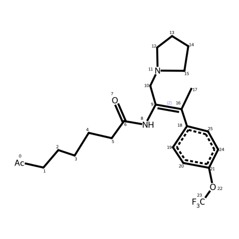 CC(=O)CCCCCC(=O)N/C(CN1CCCC1)=C(/C)c1ccc(OC(F)(F)F)cc1